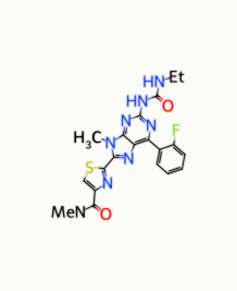 CCNC(=O)Nc1nc(-c2ccccc2F)c2nc(-c3nc(C(=O)NC)cs3)n(C)c2n1